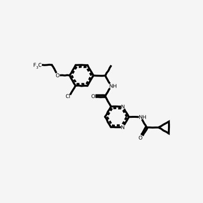 CC(NC(=O)c1ccnc(NC(=O)C2CC2)n1)c1ccc(OCC(F)(F)F)c(Cl)c1